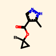 CCC1(OC(=O)c2cn[nH]c2C)CC1